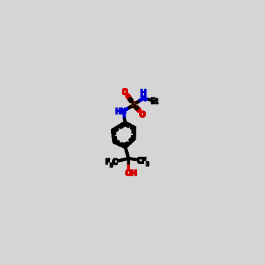 CCNS(=O)(=O)Nc1ccc(C(O)(C(F)(F)F)C(F)(F)F)cc1